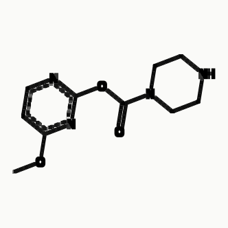 COc1ccnc(OC(=O)N2CCNCC2)n1